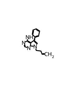 C=CCCn1cc(-c2ccccc2)c2c(N)ncnc21